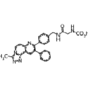 Cc1nnc2c3cc(-c4ccccc4)c(-c4ccc(CNC(=O)CNC(=O)O)cc4)nc3ccn12